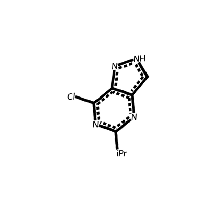 CC(C)c1nc(Cl)c2n[nH]cc2n1